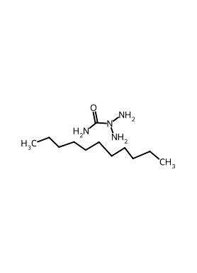 CCCCCCCCCCC.NC(=O)N(N)N